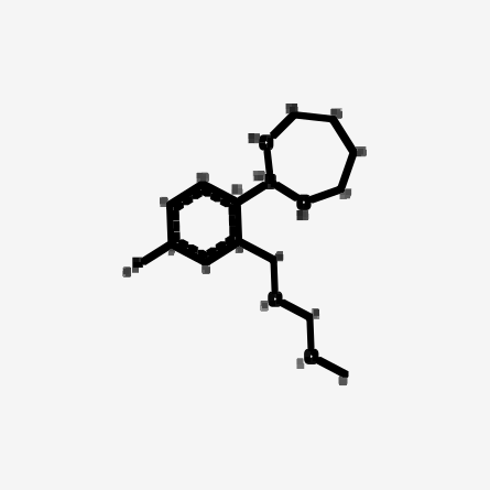 COCOCc1cc(F)ccc1B1OCCCCO1